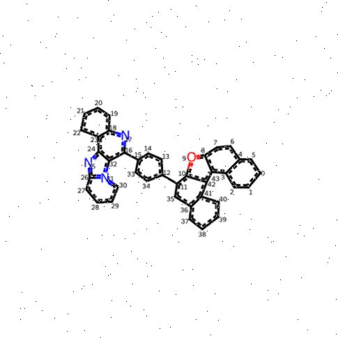 c1ccc2c(c1)ccc1oc3c(-c4ccc(-c5nc6ccccc6c6nc7ccccn7c56)cc4)cc4ccccc4c3c12